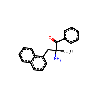 N[C@@](Cc1cccc2ccccc12)(C(=O)O)C(=O)c1ccccc1